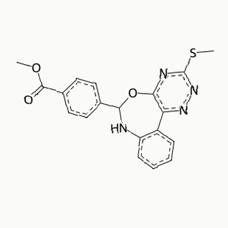 COC(=O)c1ccc(C2Nc3ccccc3-c3nnc(SC)nc3O2)cc1